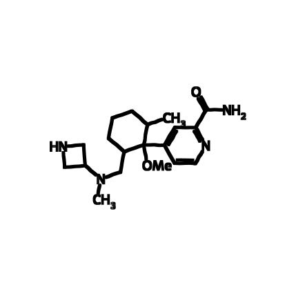 COC1(c2ccnc(C(N)=O)c2)C(C)CCCC1CN(C)C1CNC1